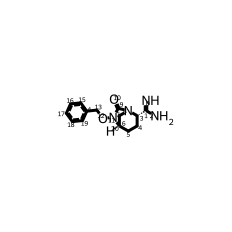 N=C(N)[C@@H]1CC[C@@H]2CN1C(=O)N2OCc1ccccc1